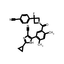 Cc1cc(C)c(-c2[nH]c(C3CC3)nc2C#N)cc1C(=O)N1CC(F)(c2ccc(C#N)cc2)C1